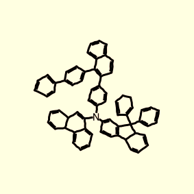 C1=CC2C=C(N(c3ccc(-c4ccc5ccccc5c4-c4ccc(-c5ccccc5)cc4)cc3)c3ccc4c(c3)C(C3=CCCC=C3)(c3ccccc3)C3C=CC=CC43)c3ccccc3C2C=C1